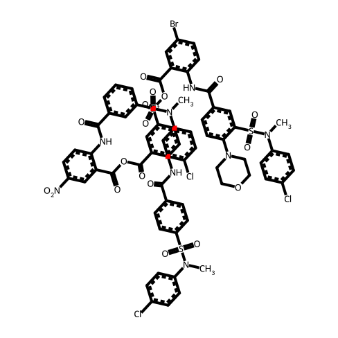 CN(c1ccc(Cl)cc1)S(=O)(=O)c1ccc(C(=O)Nc2ccc([N+](=O)OC(=O)c3cc(Br)ccc3NC(=O)c3ccc(N4CCOCC4)c(S(=O)(=O)N(C)c4ccc(Cl)cc4)c3)cc2C(=O)OC(=O)c2cc([N+](=O)[O-])ccc2NC(=O)c2cccc(S(=O)(=O)N(C)c3ccc(Cl)cc3)c2)cc1